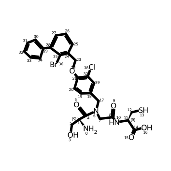 N[C@@H](CO)C(=O)N(CC(=O)N[C@@H](CS)C(=O)O)Cc1ccc(OCc2cccc(-c3ccccc3)c2Br)c(Cl)c1